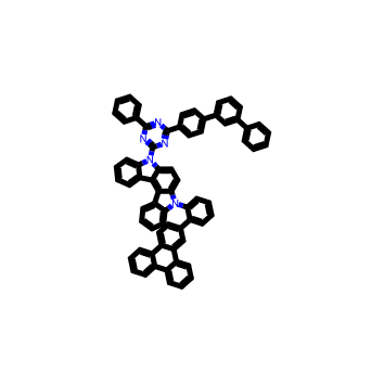 c1ccc(-c2cccc(-c3ccc(-c4nc(-c5ccccc5)nc(-n5c6ccccc6c6c7c8ccccc8n(-c8ccccc8-c8ccc9c%10ccccc%10c%10ccccc%10c9c8)c7ccc65)n4)cc3)c2)cc1